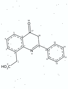 O=C(O)Cc1cccc2c1N=C(c1ccccc1)CC2=O